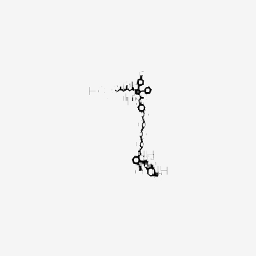 CC(C)c1c(C(=O)Nc2ccc(OCCOCCOCCOCCNc3cccc4c3C(=O)N(C3CCC(=O)NC3=O)C4=O)cc2)c(-c2ccccc2)c(-c2ccc(F)cc2)n1CCC(O)CC(O)CC(=O)O